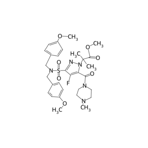 COC(=O)C(C)(C)n1nc(S(=O)(=O)N(Cc2ccc(OC)cc2)Cc2ccc(OC)cc2)c(F)c1C(=O)N1CCN(C)CC1